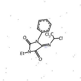 CCN1C(=O)/C(=N/C(Cl)C(Cl)(Cl)Cl)N(c2ccccc2)C1=O